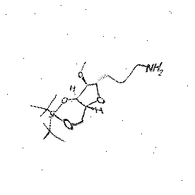 CO[C@@H]1[C@@H]2O[Si](C(C)(C)C)(C(C)(C)C)OC[C@H]2O[C@H]1CCCN